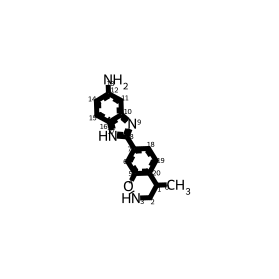 CC1CNOc2cc(-c3nc4cc(N)ccc4[nH]3)ccc21